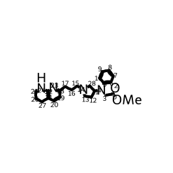 COC(=O)CN(c1ccccc1)C1CCN(CCCc2ccc3c(n2)NCCC3)C1